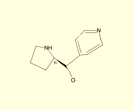 [O]C(c1ccncc1)[C@H]1CCCN1